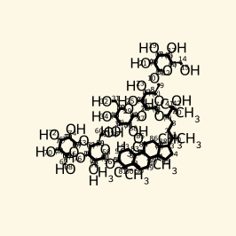 C[C@H](CC[C@@H](O[C@@H]1O[C@H](CO[C@H]2O[C@H](CO)[C@@H](O)[C@H](O)[C@H]2O)[C@@H](O)[C@H](O)[C@H]1O[C@@H]1O[C@H](CO)[C@@H](O)[C@H](O)[C@H]1O)C(C)(C)O)C1CC[C@@]2(C)C3CC=C4C(CC[C@H](O[C@@H]5O[C@H](CO)[C@@H](O[C@@H]6O[C@H](CO)[C@@H](O)[C@H](O)[C@H]6O)[C@H](O)[C@H]5O)C4(C)C)[C@]3(C)C(=O)C[C@]12C